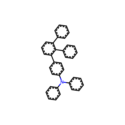 c1ccc(-c2cccc(-c3ccc(N(c4ccccc4)c4ccccc4)cc3)c2-c2ccccc2)cc1